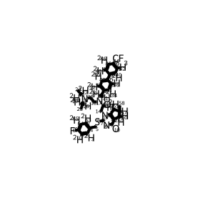 [2H]c1c([2H])c(CSc2nc(=O)c3c(n2CC(=O)N(CCN(C([2H])([2H])C)C([2H])([2H])C)C([2H])([2H])c2c([2H])c([2H])c(-c4c([2H])c([2H])c(C(F)(F)F)c([2H])c4[2H])c([2H])c2[2H])C([2H])([2H])C([2H])(C)C3([2H])[2H])c([2H])c([2H])c1F